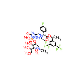 CNC[C@H](OP(=O)(O)n1[nH]c(CN2CCO[C@H](O[C@H](C)c3cc(C(F)(F)F)cc(C(F)(F)F)c3)[C@@H]2c2ccc(F)cc2)nc1=O)[C@@H](O)[C@H](O)[C@H](O)CO